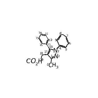 Cc1nn(-c2ccccc2)c(-c2ccccc2)c1CC(=O)O